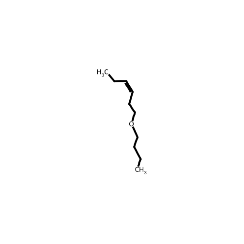 CC/C=C\CCOCCCC